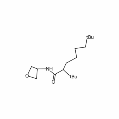 CC(C)(C)CCCCC(C(=O)NC1COC1)C(C)(C)C